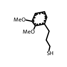 COc1cccc(CCCS)c1OC